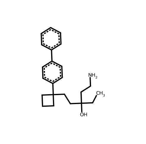 CCC(O)(CCN)CCC1(c2ccc(-c3ccccc3)cc2)CCC1